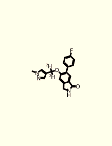 [2H]C([2H])(Oc1cc2c(cc1-c1ccc(F)cc1)C(=O)NC2)c1cnn(C)c1